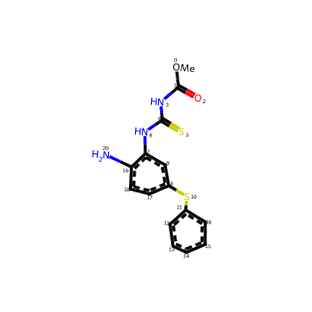 COC(=O)NC(=S)Nc1cc(Sc2ccccc2)ccc1N